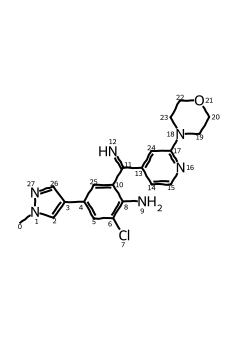 Cn1cc(-c2cc(Cl)c(N)c(C(=N)c3ccnc(N4CCOCC4)c3)c2)cn1